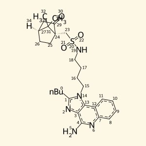 CCCCc1nc2c(N)nc3ccccc3c2n1CCCCNS(=O)(=O)C[C@@]12CC[C@@H](CC1=O)C2(C)C